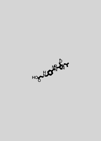 COCc1c(-c2nc(-c3ccc(CNCCC(=O)O)cc3)no2)cnn1CC(C)C